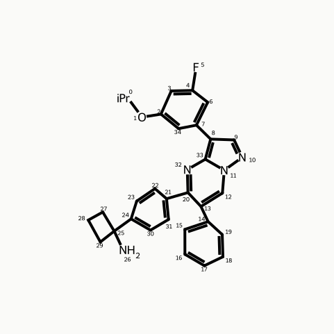 CC(C)Oc1cc(F)cc(-c2cnn3cc(-c4ccccc4)c(-c4ccc(C5(N)CCC5)cc4)nc23)c1